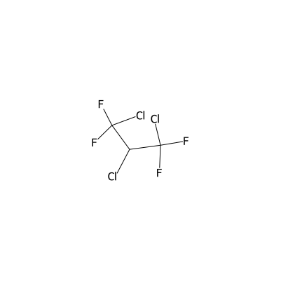 FC(F)(Cl)C(Cl)C(F)(F)Cl